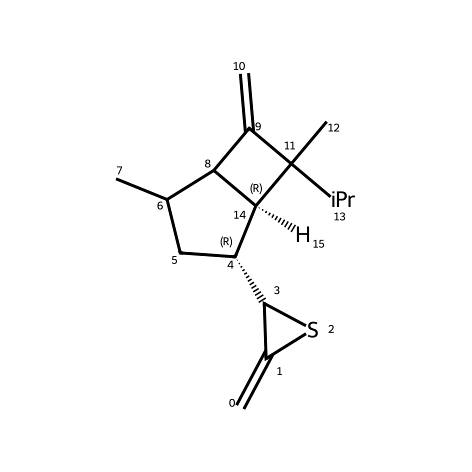 C=C1SC1[C@@H]1CC(C)C2C(=C)C(C)(C(C)C)[C@H]21